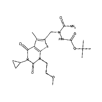 COCCn1c(=O)n(C2CC2)c(=O)c2c(C)c(CN(NC(=O)OC(C)(C)C)C(N)=O)sc21